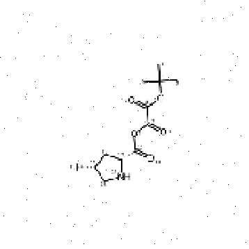 CC(C)(C)OC(=O)C(=O)OC(=O)[C@H]1C[C@@H](F)CN1